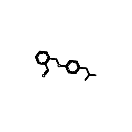 CC(C)Cc1ccc(OCc2ccccc2C=O)cc1